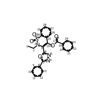 CCN1C(c2nnc(-c3ccccc3)o2)=C(OC(=O)c2ccccc2)c2ccccc2S1(=O)=O